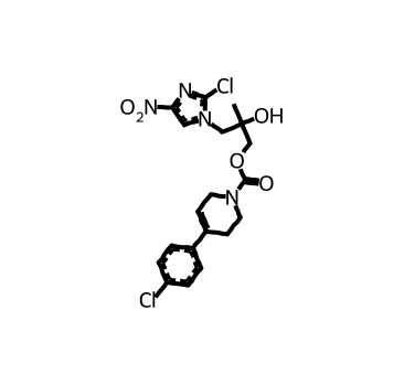 CC(O)(COC(=O)N1CC=C(c2ccc(Cl)cc2)CC1)Cn1cc([N+](=O)[O-])nc1Cl